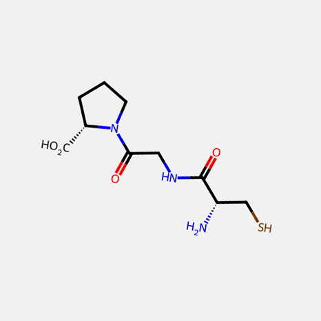 N[C@@H](CS)C(=O)NCC(=O)N1CCC[C@H]1C(=O)O